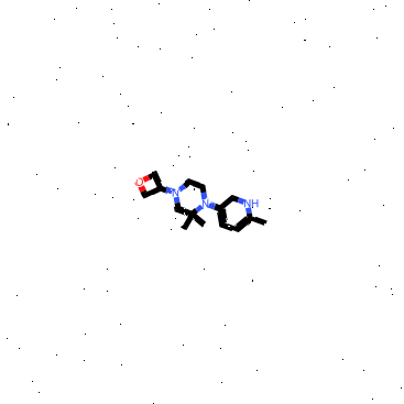 CC1=CC=C(N2CCN(C3COC3)CC2(C)C)CN1